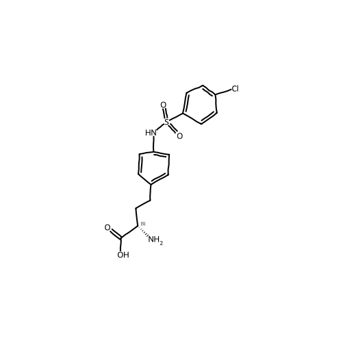 N[C@@H](CCc1ccc(NS(=O)(=O)c2ccc(Cl)cc2)cc1)C(=O)O